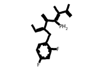 C=C(C)/C(C)=C(\P)C(=C)/C(=C\C)Cc1ccc(F)cc1F